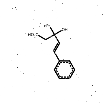 CCCC(O)(/C=C/c1ccccc1)CC(=O)O